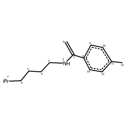 C=C(NCCCCC(C)C)c1ccc(C)cc1